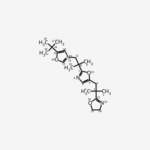 CC(C)(Cc1cnc(C(C)(C)C[n+]2coc(C(C)(C)C)c2)o1)C1=NCCO1